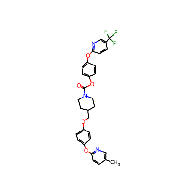 Cc1ccc(Oc2ccc(OCC3CCN(C(=O)Oc4ccc(Oc5ccc(C(F)(F)F)cn5)cc4)CC3)cc2)nc1